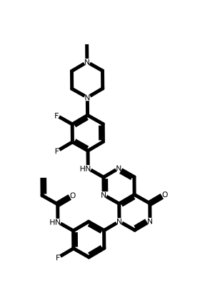 C=CC(=O)Nc1cc(-n2cnc(=O)c3cnc(Nc4ccc(N5CCN(C)CC5)c(F)c4F)nc32)ccc1F